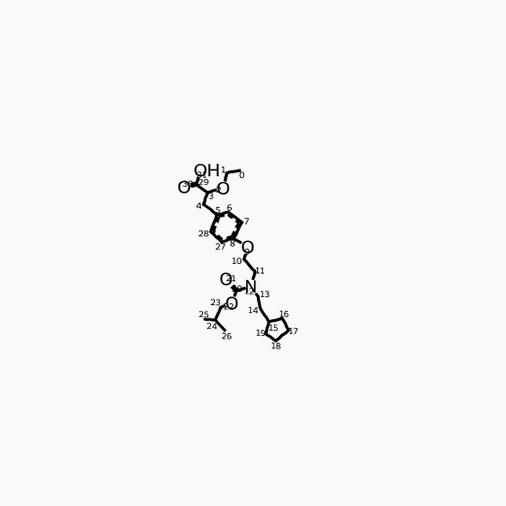 CCOC(Cc1ccc(OCCN(CCC2CCCC2)C(=O)OCC(C)C)cc1)C(=O)O